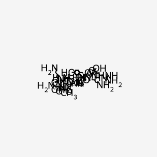 C[C@H](NC(=O)[C@@H](NC(=O)[C@@H](N)CCCCN)[C@@H](O)CN)C(=O)NCC(=O)N[C@H](CCCN)C(=O)N1CCC[C@H]1C(=O)N[C@@H](Cc1ccc(O)cc1)C(=O)N[C@@H](CCCCN)C(=O)N/C(=C\CCNC(=N)N)C(=O)O